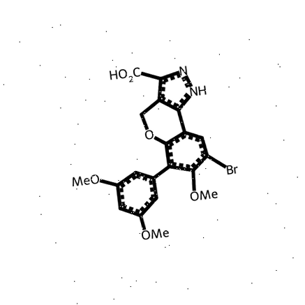 COc1cc(OC)cc(-c2c(OC)c(Br)cc3c2OCc2c(C(=O)O)n[nH]c2-3)c1